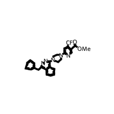 COC(=O)c1cnc(N2CCN(c3nnc(Cc4ccccc4)c4ccccc34)CC2)cc1C(F)(F)F